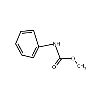 COC(=O)Nc1cc[c]cc1